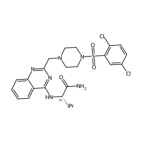 CC(C)[C@H](Nc1nc(CN2CCN(S(=O)(=O)c3cc(Cl)ccc3Cl)CC2)nc2ccccc12)C(N)=O